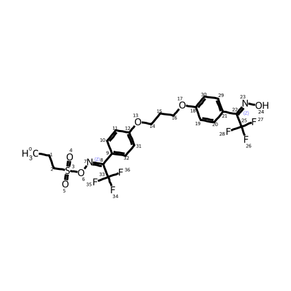 CCCS(=O)(=O)O/N=C(/c1ccc(OCCCOc2ccc(/C(=N/O)C(F)(F)F)cc2)cc1)C(F)(F)F